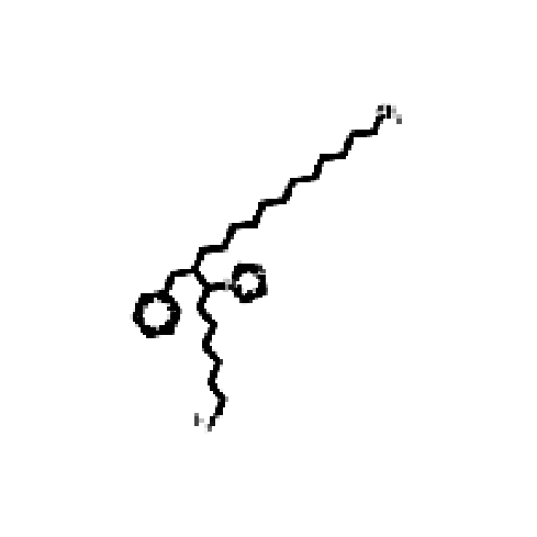 CCCCCCCCCCCCCC(Cc1ccccc1)C(CCCCCCC)n1ccnc1